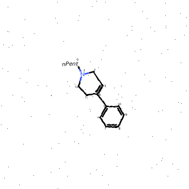 CCCCCN1CC=C(c2ccccc2)CC1